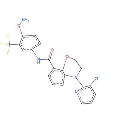 NOc1ccc(NC(=O)c2cccc3c2OCCN3c2ncccc2Cl)cc1C(F)(F)F